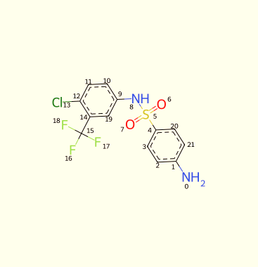 Nc1ccc(S(=O)(=O)Nc2ccc(Cl)c(C(F)(F)F)c2)cc1